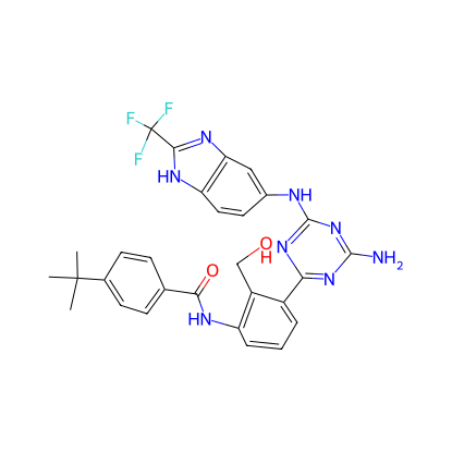 CC(C)(C)c1ccc(C(=O)Nc2cccc(-c3nc(N)nc(Nc4ccc5[nH]c(C(F)(F)F)nc5c4)n3)c2CO)cc1